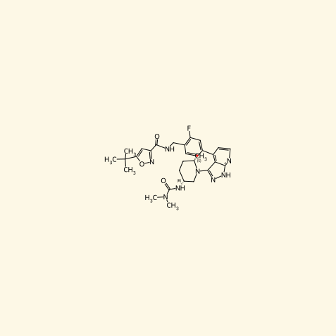 C[C@H]1CC[C@@H](NC(=O)N(C)C)CN1c1n[nH]c2nccc(-c3ccc(CNC(=O)c4cc(C(C)(C)C)on4)c(F)c3)c12